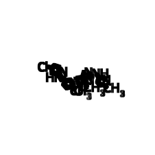 Cc1ccc(Nc2ncc3c(n2)N(C)C(=O)N(c2cc(-c4nc5ccc(Cl)cc5[nH]4)ccc2C)C3)cn1